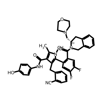 Cc1c(C(=O)Nc2ccc(O)cc2)c(Cc2ccccc2C#N)c(-c2cc(F)c(F)cc2C(=O)N2Cc3ccccc3C[C@H]2CN2CCOCC2)n1C